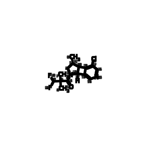 C[C@H]1CN(C(=O)C(C)(C)C(F)F)[C@@H]2c3cncc(Cl)c3C21